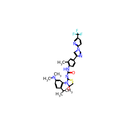 Cc1cc(-c2cn(-c3ccc(C(F)(F)F)cn3)cn2)ccc1NC(=O)/N=C1\SCC(=O)N1c1cc(N(C)C)ccc1C(C)C